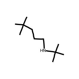 CC(C)(C)CCCNC(C)(C)C